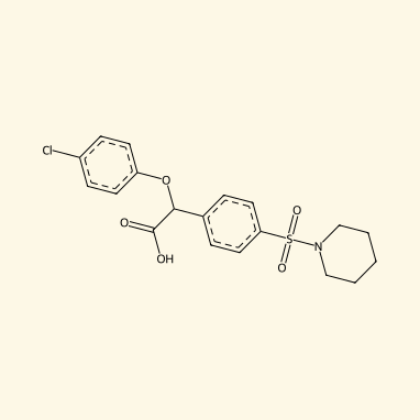 O=C(O)C(Oc1ccc(Cl)cc1)c1ccc(S(=O)(=O)N2CCCCC2)cc1